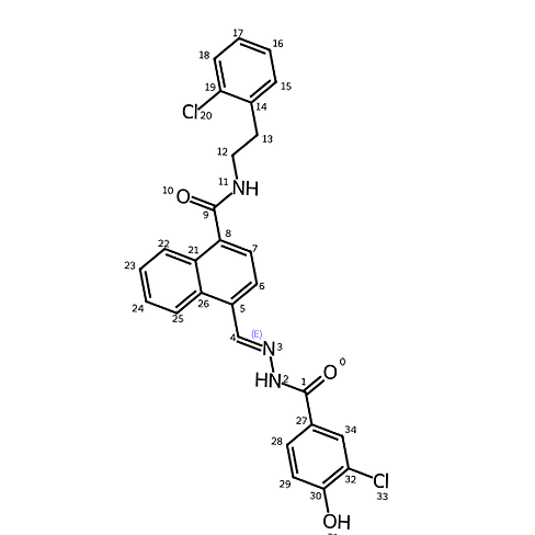 O=C(N/N=C/c1ccc(C(=O)NCCc2ccccc2Cl)c2ccccc12)c1ccc(O)c(Cl)c1